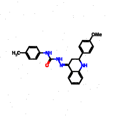 COc1ccc(C2CC(=NNC(=O)Nc3ccc(C)cc3)c3ccccc3N2)cc1